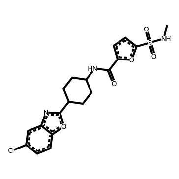 CNS(=O)(=O)c1ccc(C(=O)NC2CCC(c3nc4cc(Cl)ccc4o3)CC2)o1